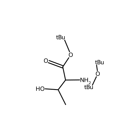 CC(C)(C)OC(C)(C)C.CC(O)C(N)C(=O)OC(C)(C)C